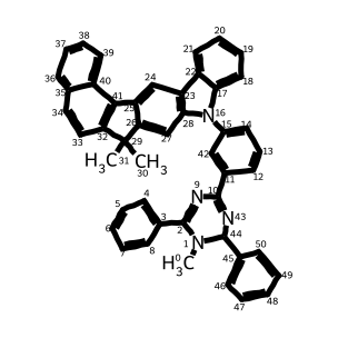 CN1C(c2ccccc2)=NC(c2cccc(-n3c4ccccc4c4cc5c(cc43)C(C)(C)c3ccc4ccccc4c3-5)c2)=NC1c1ccccc1